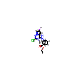 CCOC(=O)[C@@H]1C2CCC(CC2)[C@H]1Nc1nc(Cl)nn2cc(I)cc12